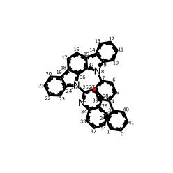 c1ccc(-c2ccc(-n3c4ccccc4c4ccc5c6ccccc6n(-c6ccc7ccccc7n6)c5c43)cc2)cc1